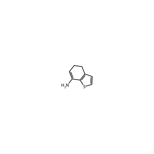 NC1=CCCc2ccsc21